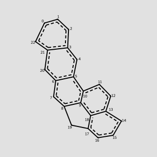 c1ccc2cc3c(cc4c5c3ccc3cccc(c35)C4)cc2c1